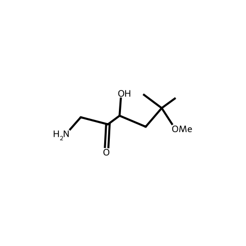 COC(C)(C)CC(O)C(=O)CN